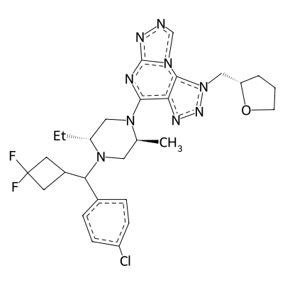 CC[C@@H]1CN(c2nc3nncn3c3c2nnn3C[C@@H]2CCCO2)[C@@H](C)CN1C(c1ccc(Cl)cc1)C1CC(F)(F)C1